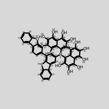 Oc1c(O)c(O)c2c(N(c3cc(-c4ccc5c(c4)oc4ccccc45)c4sc5ccccc5c4c3)c3c(O)c(O)c(O)c4c(O)c(O)c(O)c(O)c34)c(O)c(O)c(O)c2c1O